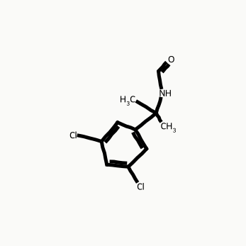 CC(C)(NC=O)c1cc(Cl)cc(Cl)c1